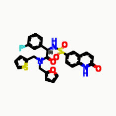 O=C([C@H](NS(=O)(=O)c1ccc2[nH]c(=O)ccc2c1)c1cccc(F)c1)N(Cc1ccco1)Cc1cccs1